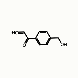 [CH]=CC(=O)c1ccc(CO)cc1